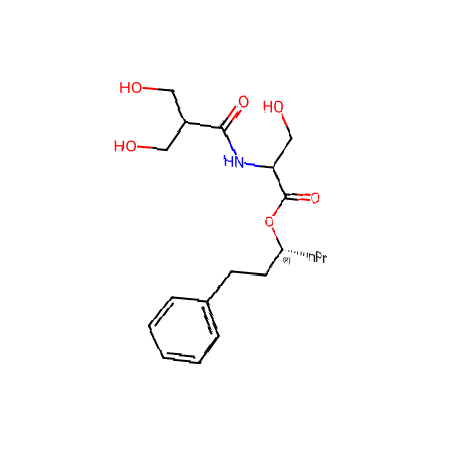 CCC[C@H](CCc1ccccc1)OC(=O)C(CO)NC(=O)C(CO)CO